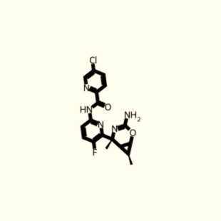 C[C@@H]1C2OC(N)=N[C@@](C)(c3nc(NC(=O)c4ccc(Cl)cn4)ccc3F)C21